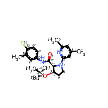 Cc1cc(C(F)(F)F)cc(N2CC[C@@H](O[Si](C)(C)C(C)(C)C)[C@H]2C(=O)Nc2ccc(F)c(C)c2)n1